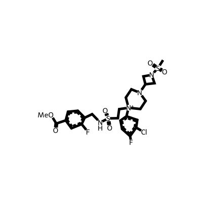 COC(=O)c1ccc(CNS(=O)(=O)CC[N+]2(c3ccc(F)c(Cl)c3)CCN(C3CN(S(C)(=O)=O)C3)CC2)c(F)c1